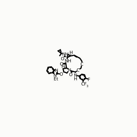 CCn1c(O[C@@H]2C[C@H]3C(=O)N[C@]4(C(=O)NC5(C)CC5)C[C@H]4/C=C\CCCCC[C@H](Nc4ccc(F)c(C(F)(F)F)c4)C(=O)N3C2)nc2ccccc21